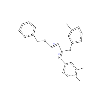 Cc1cccc(OC(/C=C/OCc2ccccc2)=N\c2ccc(C)c(C)c2)c1